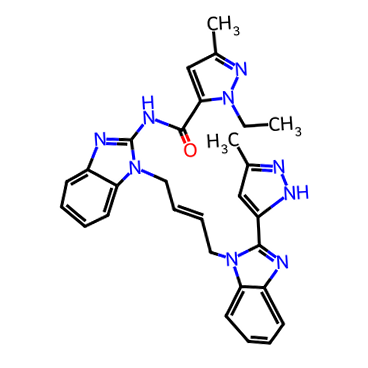 CCn1nc(C)cc1C(=O)Nc1nc2ccccc2n1C/C=C/Cn1c(-c2cc(C)n[nH]2)nc2ccccc21